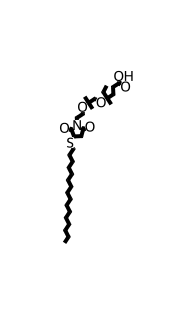 CCCCCCCCCCCCCCCCSC1CC(=O)N(CCOC(C)(C)COC(C)(CC)CCC(=O)O)C1=O